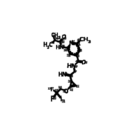 Cc1cc(C(=O)NCC(=N)C2C=C2OCC(F)(F)I)cc(NC(=O)C(C)C)n1